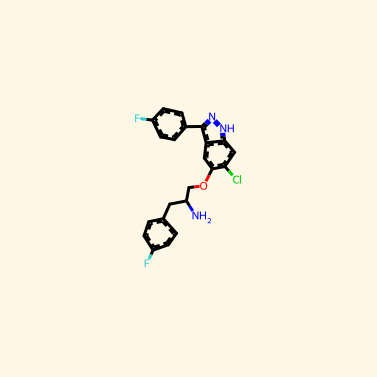 NC(COc1cc2c(-c3ccc(F)cc3)n[nH]c2cc1Cl)Cc1ccc(F)cc1